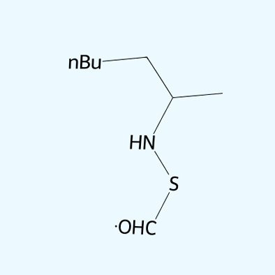 CCCCCC(C)NS[C]=O